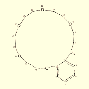 c1ccc2c(c1)OCCOCCOCCOCCOCCO2